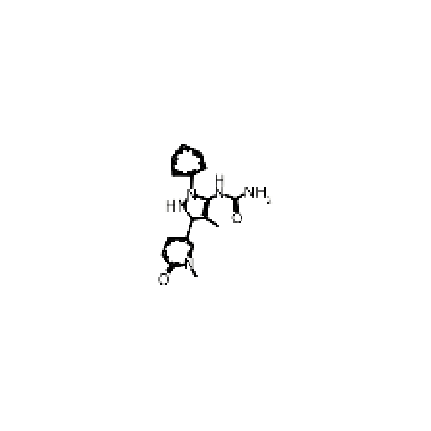 CC1=C(NC(N)=O)N(c2ccccc2)NC1c1ccc(=O)n(C)c1